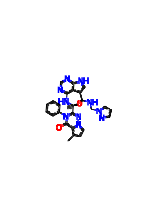 Cc1ccn2nc([C@H](C)Nc3ncnc4[nH]cc(C(=O)NCn5cccn5)c34)n(-c3ccccc3)c(=O)c12